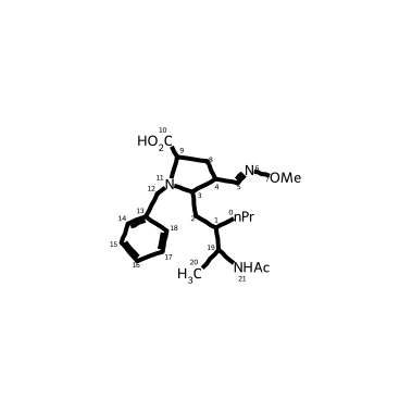 CCCC(CC1C(C=NOC)CC(C(=O)O)N1Cc1ccccc1)C(C)NC(C)=O